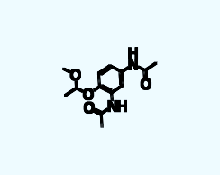 COC(C)Oc1ccc(NC(C)=O)cc1NC(C)=O